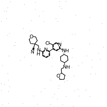 N#CC1(CNc2cccc(-c3cc(N[C@H]4CC[C@H](NCC5CCCO5)CC4)ncc3Cl)n2)CCOCC1